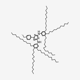 [CH2]Cc1ccc(-c2nc(Nc3cc(CCCCCCCCCCCC)c(CCCCCCCCCCCC)c(CCCCCCCCCCCC)c3)nc(Nc3cc(CCCCCCCCCCCC)c(CCCCCCCCCCCC)c(CCCCCCCCCCCC)c3)n2)cc1